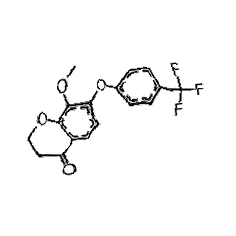 COc1c(Oc2ccc(C(F)(F)F)cc2)ccc2c1OCCC2=O